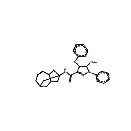 COC1[C@H](Sc2ccccc2)C(C(=O)NC23CC4CCCC(C2)C(C4)C3)=NN1c1ccccc1